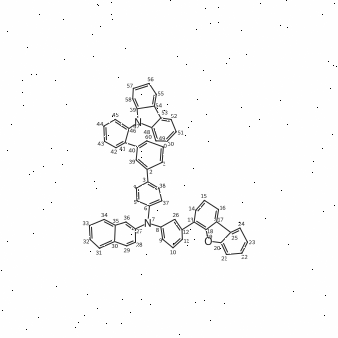 c1cc(-c2ccc(N(c3cccc(-c4cccc5c4oc4ccccc45)c3)c3ccc4ccccc4c3)cc2)cc(-c2ccccc2-n2c3ccccc3c3ccccc32)c1